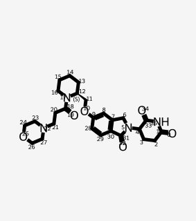 O=C1CCC(N2Cc3cc(OC[C@@H]4CCCCN4C(=O)CCN4CCOCC4)ccc3C2=O)C(=O)N1